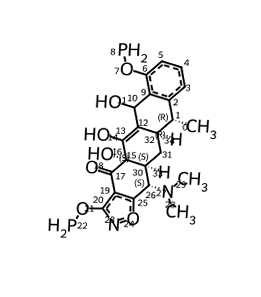 C[C@H]1c2cccc(OP)c2C(O)C2=C(O)[C@]3(O)C(=O)c4c(OP)noc4[C@@H](N(C)C)[C@@H]3C[C@@H]21